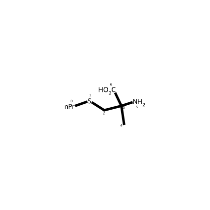 CCCSCC(C)(N)C(=O)O